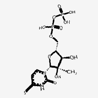 C[C@@]1(O)[C@H](O)[C@@H](COP(=O)(O)OP(=O)(O)O)O[C@H]1n1ccc(=S)[nH]c1=O